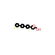 OCC1CCC(c2ccc(-c3ccc(-c4cccc(F)c4F)cc3)cc2F)CO1